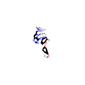 Cn1c(CNC(=O)O)cc2ncnc(Nc3ccc(Oc4cccc(OC(F)(F)F)c4)c(Cl)c3)c21